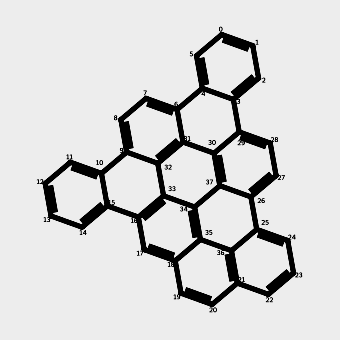 c1ccc2c(c1)c1ccc3c4ccccc4c4cc5ccc6cccc7c8ccc2c2c1c3c4c(c5c67)c82